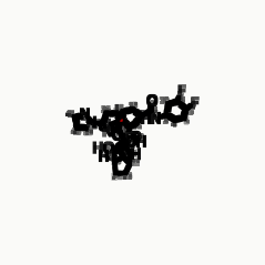 O=C(Nc1ccc(F)c(F)c1)c1ccc(Cl)c(S(=O)(=O)C2CC3CC[C@@H](C2)[C@@]3(O)C(O)C(O)c2cccc(-n3cccn3)n2)c1